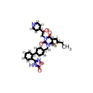 CCc1cc2c(=O)n(CC(=O)c3ccncc3)c(=O)n(Cc3ccc(-c4ccccc4-c4noc(=O)[nH]4)cc3)c2s1